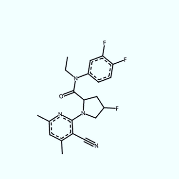 CCN(C(=O)C1CC(F)CN1c1nc(C)cc(C)c1C#N)c1ccc(F)c(F)c1